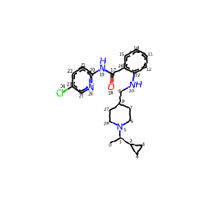 CC(C1CC1)N1CCC(CNc2ccccc2C(=O)Nc2ccc(Cl)cn2)CC1